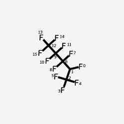 FC(C(F)(F)F)C(F)(F)C(F)(F)C(F)(F)F